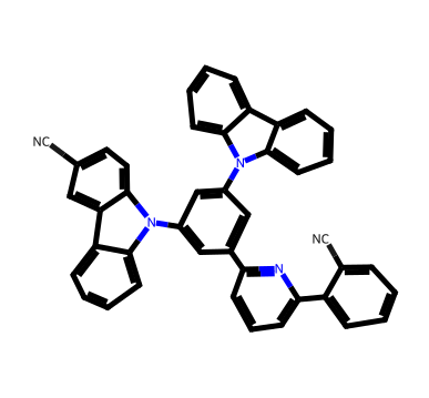 N#Cc1ccc2c(c1)c1ccccc1n2-c1cc(-c2cccc(-c3ccccc3C#N)n2)cc(-n2c3ccccc3c3ccccc32)c1